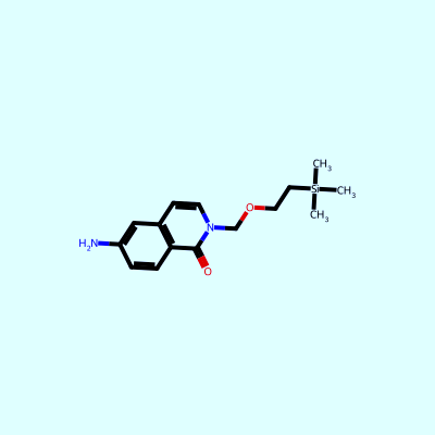 C[Si](C)(C)CCOCn1ccc2cc(N)ccc2c1=O